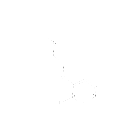 CN(C)CCOc1ccccc1F